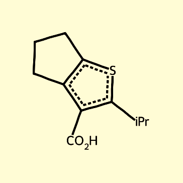 CC(C)c1sc2c(c1C(=O)O)CCC2